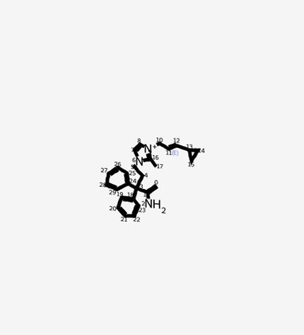 C=C(N)C(CCn1cc[n+](C/C=C/C2CC2)c1C)(c1ccccc1)c1ccccc1